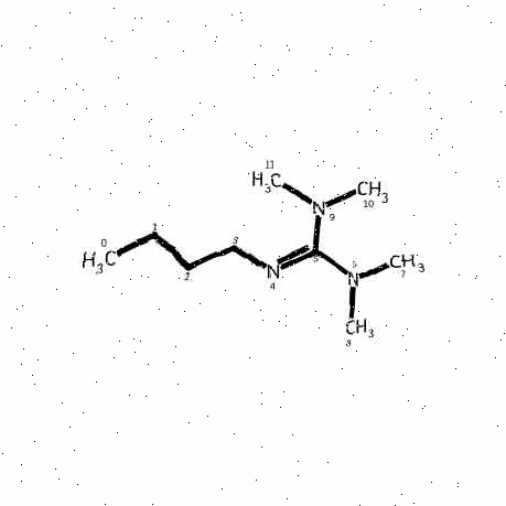 CCCCN=C(N(C)C)N(C)C